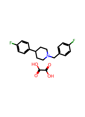 Fc1ccc(CN2CCC(c3ccc(F)cc3)CC2)cc1.O=C(O)C(=O)O